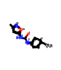 Cc1cc(NC(=O)Nc2ccc(C(=O)O)cc2)on1